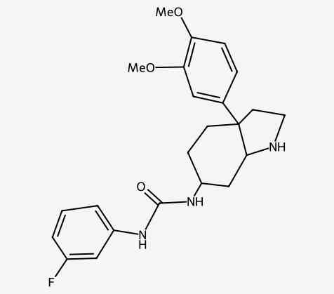 COc1ccc(C23CCNC2CC(NC(=O)Nc2cccc(F)c2)CC3)cc1OC